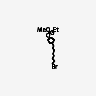 CCOC(OC)Oc1ccc(CCCCCCCCBr)cc1